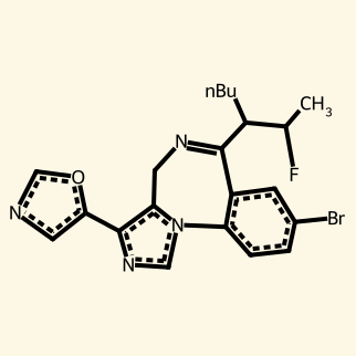 CCCCC(C1=NCc2c(-c3cnco3)ncn2-c2ccc(Br)cc21)C(C)F